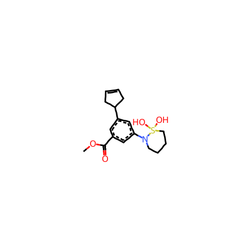 COC(=O)c1cc(C2CC=CC2)cc(N2CCCCS2(O)O)c1